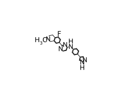 CN1CCc2c(F)cc(-c3nccc(Nc4ccc(-c5cn[nH]c5)cc4)n3)cc2C1